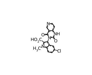 Cn1c(C(=O)O)c(-n2c(=O)[nH]c3ccncc3c2=O)c2cc(Cl)ccc21